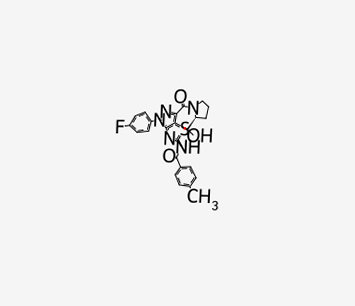 Cc1ccc(C(=O)Nc2nc3c(s2)c(C(=O)N2CCC[C@H]2CO)nn3-c2ccc(F)cc2)cc1